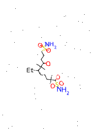 CCC(CCCC(C)(C)C(=O)S(N)(=O)=O)C(C)(C)C(=O)CCCS(N)(=O)=O